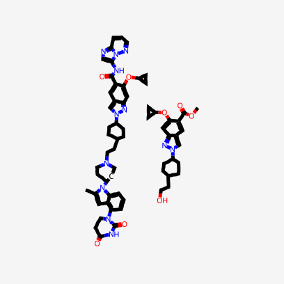 COC(=O)c1cc2cn(C3CCC(CCO)CC3)nc2cc1OC1CC1.Cc1cc2c(N3CCC(=O)NC3=O)cccc2n1C1CCN(CCC2CCC(n3cc4cc(C(=O)Nc5cnc6cccnn56)c(OC5CC5)cc4n3)CC2)CC1